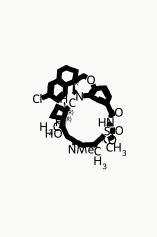 CN[C@@H]1C[C@H](C)[C@@H](C)S(=O)(=O)NC(=O)c2ccc3c(c2)N(C[C@@H]2CC[C@H]2[C@@](C)(O)C1)C[C@@]1(CCCc2cc(Cl)ccc21)CO3